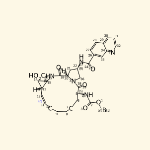 CC(C)(C)OC(=O)N[C@H]1CCCCC/C=C\[C@@H]2C[C@@]2(C(=O)O)NC(=O)[C@@H]2C[C@@H](NC(=O)c3ccc4cccnc4c3)CN2C1=O